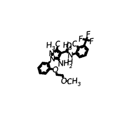 COCCOc1ccccc1-n1nc(C)c(C(=O)Nc2cccc(C(F)(F)F)c2C)c1N